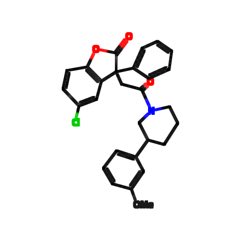 COc1cccc(C2CCCN(C(=O)CC3(c4ccccc4)C(=O)Oc4ccc(Cl)cc43)C2)c1